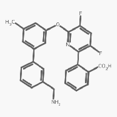 Cc1cc(Oc2nc(-c3ccccc3C(=O)O)c(F)cc2F)cc(-c2cccc(CN)c2)c1